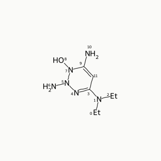 CCN(CC)C1=NN(N)N(O)C(N)=C1